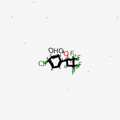 O=CO[C@@]1(c2ccc(Cl)cc2)CC(F)(F)C1(F)F